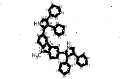 Cn1c2ccc(-c3[nH]cc(-c4ccccc4)c3-c3ccccc3)cc2c2cc(-c3[nH]cc(-c4ccccc4)c3-c3ccccc3)ccc21